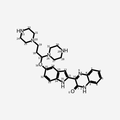 O=c1[nH]c2ccccc2nc1-c1cc2cc(OC(CCN3CCNCC3)N3CCNCC3)ccc2[nH]1